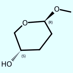 CO[C@H]1CC[C@H](O)CO1